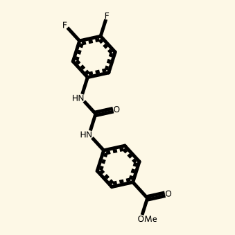 COC(=O)c1ccc(NC(=O)Nc2ccc(F)c(F)c2)cc1